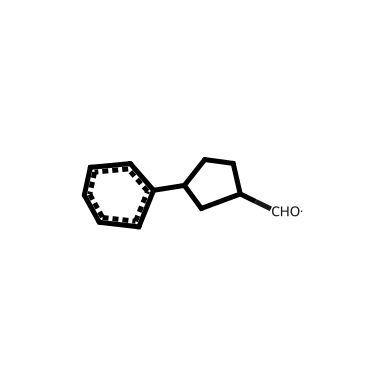 O=[C]C1CCC(c2ccccc2)C1